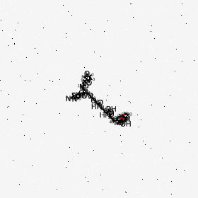 CC1=C(C)C(=O)C(C(C)(C)CC(=O)N(C)CCN(CCOCCOCCC(=O)NCCCCC(NC(=O)CC[C@@H](C)[C@H]2CC[C@H]3[C@@H]4[C@H](O)C[C@@H]5C[C@H](C)CC[C@]5(C)[C@H]4CC[C@]23C)C(=O)O)C(=O)Oc2ccc3nc(C#N)sc3c2)=C(C)C1=O